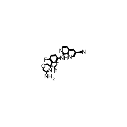 N#Cc1cnc2c(Nc3ccc(F)c([C@]4(C(F)F)COCC(N)=N4)c3)nccc2c1